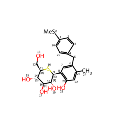 CSc1ccc(Cc2cc([C@@H]3S[C@H](CO)[C@@H](O)[C@H](O)[C@H]3O)c(O)cc2C)cc1